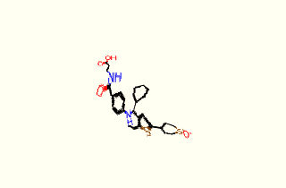 CCc1sc(C2CC[S+]([O-])CC2)cc1C(Nc1ccc(C(=O)NCCC(=O)O)cc1)C1CCCCC1